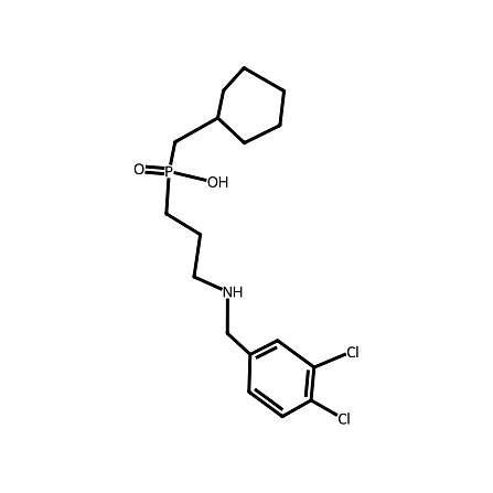 O=P(O)(CCCNCc1ccc(Cl)c(Cl)c1)CC1CCCCC1